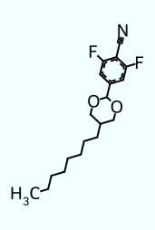 CCCCCCCCC1COC(c2cc(F)c(C#N)c(F)c2)OC1